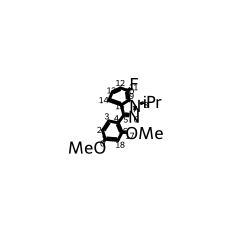 COc1ccc(-c2nn(C(C)C)c3c(F)cccc23)c(OC)c1